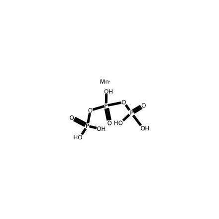 O=P(O)(O)OP(=O)(O)OP(=O)(O)O.[Mn]